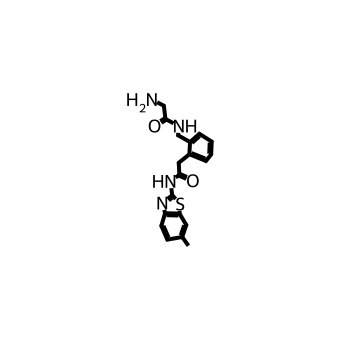 Cc1ccc2nc(NC(=O)Cc3ccccc3CNC(=O)CN)sc2c1